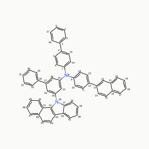 c1ccc(-c2ccc(N(c3ccc(-c4ccc5ccccc5c4)cc3)c3cc(-c4ccccc4)cc(-n4c5ccccc5c5ccc6ccccc6c54)c3)cc2)cc1